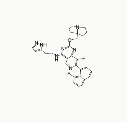 Fc1c(-c2cccc3cccc(F)c23)ncc2c(NCCc3ccn[nH]3)nc(OCC34CCCN3CCC4)nc12